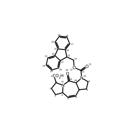 O=C(O)C1CCC2C=CC3CCN(C(=O)OCC4c5ccccc5-c5ccccc54)C3C(=O)N21